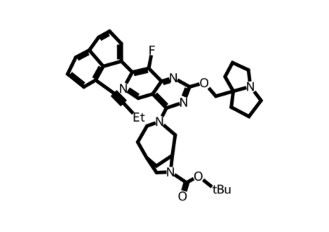 CCC#Cc1cccc2cccc(-c3ncc4c(N5CCC6CC(C5)N(C(=O)OC(C)(C)C)C6)nc(OCC56CCCN5CCC6)nc4c3F)c12